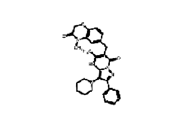 Cc1[nH]c2c(N3CCCCC3)c(-c3ccccc3)nn2c(=O)c1Cc1ccc2c(c1)N(C)C(=O)CO2